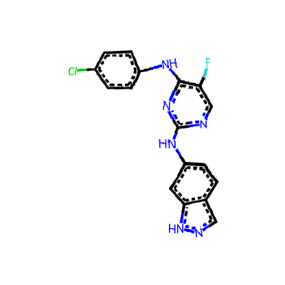 Fc1cnc(Nc2ccc3cn[nH]c3c2)nc1Nc1ccc(Cl)cc1